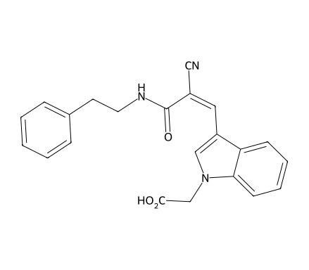 N#CC(=Cc1cn(CC(=O)O)c2ccccc12)C(=O)NCCc1ccccc1